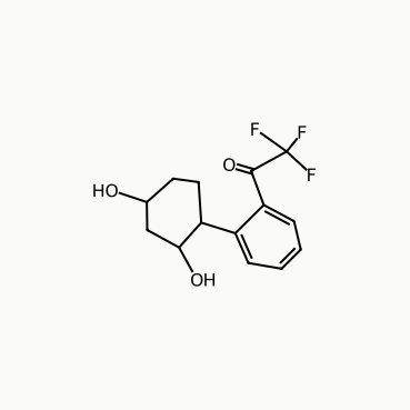 O=C(c1ccccc1C1CCC(O)CC1O)C(F)(F)F